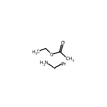 CC(C)CN.CCOC(C)=O